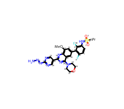 CCCS(=O)(=O)Nc1ccc(F)c(-c2cc(OC)c3nc(-c4cnc(N=NN)nc4)nc(N4CCOCC4)c3c2)c1F